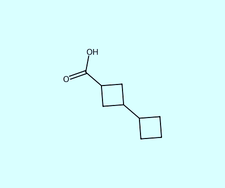 O=C(O)C1CC(C2CCC2)C1